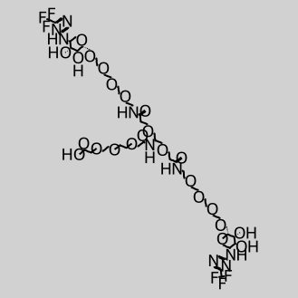 O=C(O)COCCOCCOCC(=O)NC(COCCC(=O)NCCOCCOCCOCCOC[C@H]1OC[C@H](Nc2cncc(C(F)(F)F)n2)[C@@H](O)[C@H]1O)COCCC(=O)NCCOCCOCCOCCOC[C@H]1OC[C@H](Nc2cncc(C(F)(F)F)n2)[C@@H](O)[C@H]1O